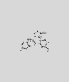 Cc1ccc(NC(=O)[C@@H]2CCC(=O)N2c2ccc(Cl)cc2)nc1